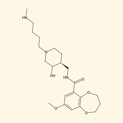 CNCCCCN1CC[C@@H](CNC(=O)c2cc(OC)cc3c2OCCCO3)C(O)C1